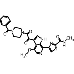 CNC(=O)c1nc(-c2ncc(OC)c3c(C(=O)C(=O)N4CCN(C(=O)c5ccccc5)CC4)c[nH]c23)cs1